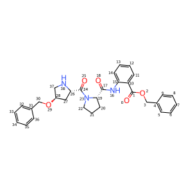 O=C(OCc1ccccc1)c1ccccc1NC(=O)[C@@H]1CCCN1C(=O)[C@@H]1C[C@@H](OCc2ccccc2)CN1